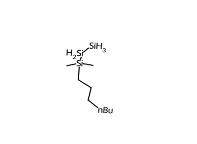 CCCCCCC[Si](C)(C)[SiH2][SiH3]